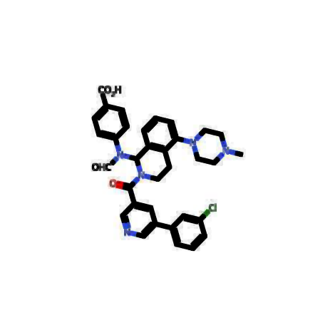 CN1CCN(c2cccc3c2CCN(C(=O)c2cncc(-c4cccc(Cl)c4)c2)C3N(C=O)c2ccc(C(=O)O)cc2)CC1